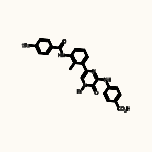 CCn1cc(-c2cccc(NC(=O)c3ccc(C(C)(C)C)cc3)c2C)nc(Nc2ccc(C(=O)O)cc2)c1=O